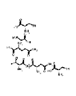 C[C@@H](O)[C@H](N)C(=O)O.NC(=O)CC[C@H](N)C(=O)O.NC(=O)C[C@H](N)C(=O)O.NCC(=O)O.N[C@@H](CO)C(=O)O.N[C@@H](CS)C(=O)O